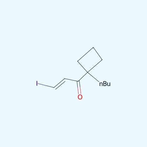 CCCCC1(C(=O)/C=C/I)CCC1